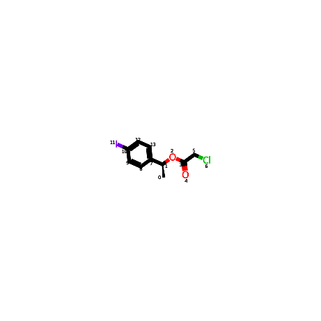 C[C@H](OC(=O)CCl)c1ccc(I)cc1